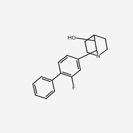 OC1C2CCN(CC2)C1c1ccc(-c2ccccc2)c(F)c1